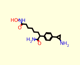 NC(=O)C(CCCCCC(=O)NO)c1ccc(C2CC2N)cc1